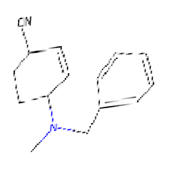 CN(Cc1ccccc1)C1C=CC(C#N)CC1